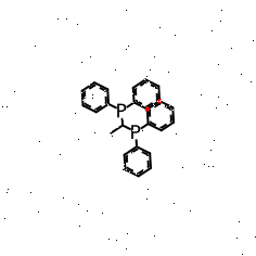 CC(P(c1ccccc1)c1ccccc1)P(c1ccccc1)c1ccccc1